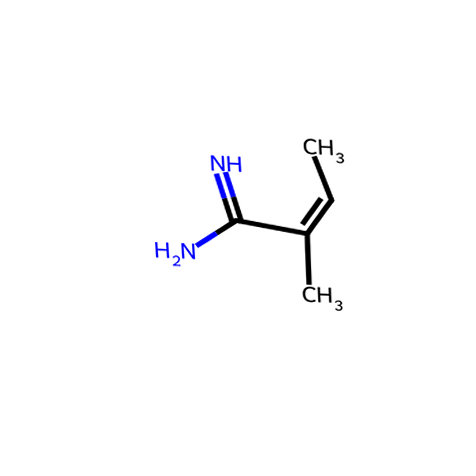 C/C=C(/C)C(=N)N